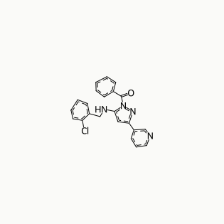 O=C(c1ccccc1)n1nc(-c2cccnc2)cc1NCc1ccccc1Cl